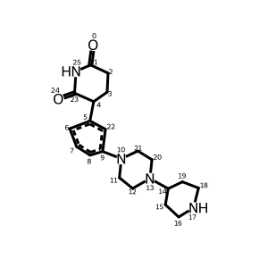 O=C1CCC(c2cccc(N3CCN(C4CCNCC4)CC3)c2)C(=O)N1